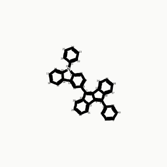 c1ccc(C2=C3C(=C(c4ccc5c(c4)c4ccccc4n5-c4ccccc4)c4ccccc43)c3ccccc32)cc1